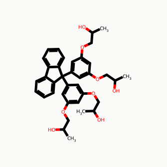 CC(O)COc1cc(OCC(C)O)cc(C2(c3cc(OCC(C)O)cc(OCC(C)O)c3)c3ccccc3-c3ccccc32)c1